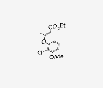 CCOC(=O)C=C(C)Oc1cccc(OC)c1Cl